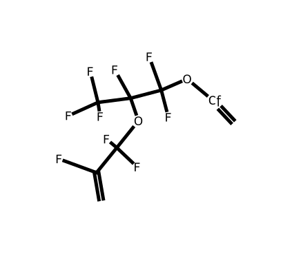 [CH2]=[Cf][O]C(F)(F)C(F)(OC(F)(F)C(=C)F)C(F)(F)F